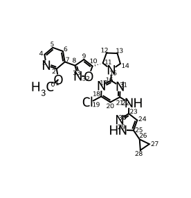 COc1ncccc1-c1cc([C@@H]2CCCN2c2nc(Cl)cc(Nc3cc(C4CC4)[nH]n3)n2)on1